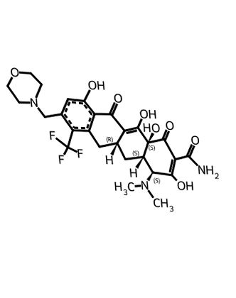 CN(C)[C@@H]1C(O)=C(C(N)=O)C(=O)[C@@]2(O)C(O)=C3C(=O)c4c(O)cc(CN5CCOCC5)c(C(F)(F)F)c4C[C@H]3C[C@@H]12